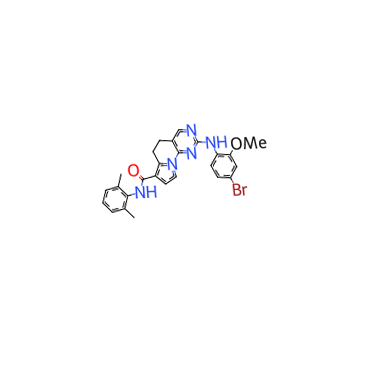 COc1cc(Br)ccc1Nc1ncc2c(n1)-n1ccc(C(=O)Nc3c(C)cccc3C)c1CC2